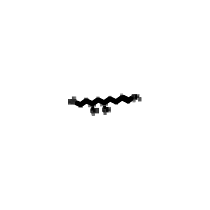 CC=CCC[C@H](O)C[C@H](O)CCO